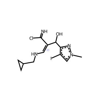 Cn1cc(I)c(C(O)/C(=C/NCC2CC2)C(=N)Cl)n1